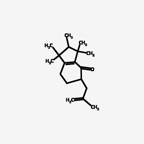 C=C(C)CC1CCC2=C(C1=O)C(C)(C)C(C)C2(C)C